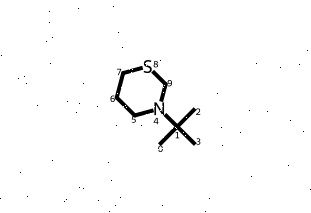 CC(C)(C)N1CCCSC1